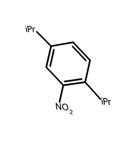 [CH2]C(C)c1ccc(C(C)C)c([N+](=O)[O-])c1